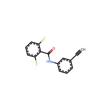 C#Cc1cccc(NC(=O)c2c(F)cccc2F)c1